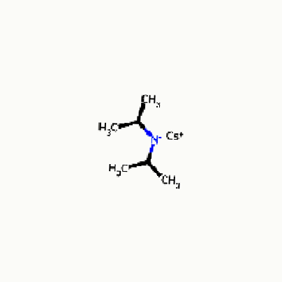 CC(C)[N-]C(C)C.[Cs+]